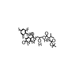 CC(C)C(NC(=O)OC(C)(C)C)C(=O)OCC(O)Cn1cnc2c(c(Nc3ccc(I)cc3F)c(F)c(=O)n2C)c1=O